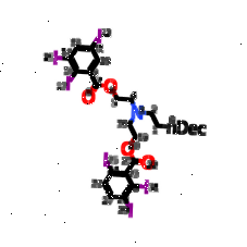 CCCCCCCCCCCCN(CCOC(=O)c1cc(I)cc(I)c1I)CCOC(=O)c1c(I)ccc(I)c1I